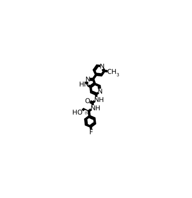 Cc1cc(-c2n[nH]c3cc(NC(=O)N[C@H](CO)c4ccc(F)cc4)ncc23)ccn1